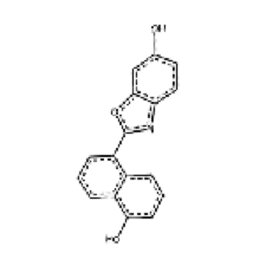 Oc1ccc2nc(-c3cccc4c(O)cccc34)oc2c1